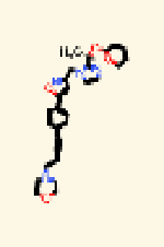 C[C@H](OC1CCCCO1)c1nccn1Cc1cc(-c2ccc(C#CCCN3CCOCC3)cc2)on1